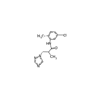 Cc1ccc(Cl)cc1NC(=O)C(C)Cn1cncn1